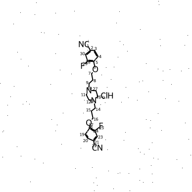 Cl.N#Cc1ccc(OCCCN2CCN(CCCOc3ccc(C#N)cc3F)CC2)c(F)c1